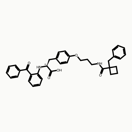 O=C(c1ccccc1)c1ccccc1N[C@@H](Cc1ccc(OCCCNC(=O)C2(Cc3ccccc3)CCC2)cc1)C(=O)O